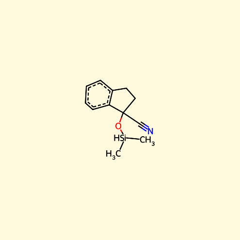 C[SiH](C)OC1(C#N)CCc2ccccc21